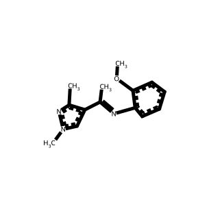 COc1ccccc1N=C(C)c1cn(C)nc1C